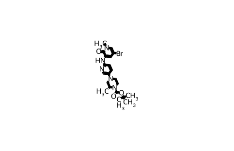 CC1CN(c2ccc(Nc3cc(Br)cn(C)c3=O)nc2)CCN1C(=O)OC(C)(C)C